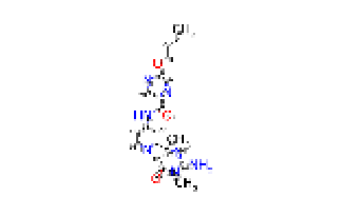 C=CCCOc1cnc(C(=O)Nc2ccnc(C3(C)CC(=O)N(C)C(N)=N3)c2)cn1